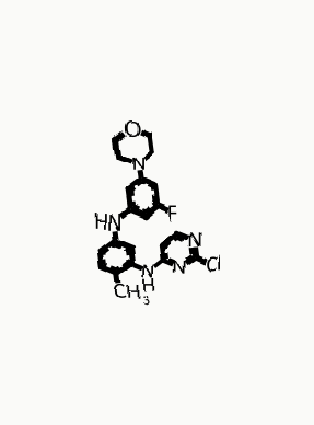 Cc1ccc(Nc2cc(F)cc(N3CCOCC3)c2)cc1Nc1ccnc(Cl)n1